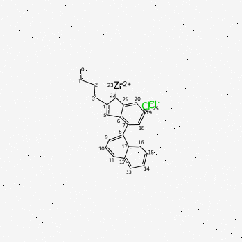 CCCCC1=Cc2c(-c3cccc4ccccc34)cccc2[CH]1[Zr+2].[Cl-].[Cl-]